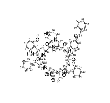 COc1cccc2[nH]cc(C[C@H]3NC(=O)[C@H](CCc4ccccc4)NC(=O)[C@@H]4COCCN4C(=O)[C@@H]4Cc5ccccc5CN4C(=O)[C@H](Cc4ccc(OCc5ccccc5)cc4)NC(=O)[C@H](CN4CCNCC4)NC3=O)c12